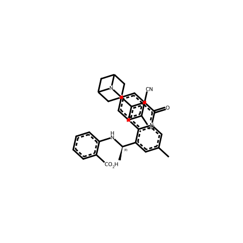 Cc1cc([C@@H](C)Nc2ccccc2C(=O)O)c2nc(N3CC4CC(C3)N4c3ccc(C#N)cc3)c(C#N)c(=O)n2c1